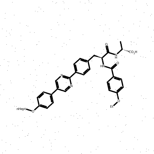 CCCCCCCOc1ccc(-c2cnc(-c3ccc(C[C@H](NC(=O)c4ccc(OCC)cc4)C(=O)N[C@H](C)C(=O)O)cc3)nc2)cc1